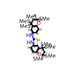 CSC1(SC)CC(SC)(SC)c2cc(NC(=S)Nc3ccc4c(c3)C(SC)(SC)CC(SC)(SC)O4)ccc2O1